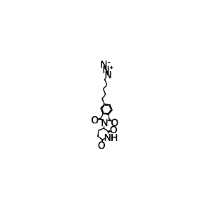 [N-]=[N+]=NCCCCCc1ccc2c(c1)C(=O)N(C1CCC(=O)NC1=O)C2=O